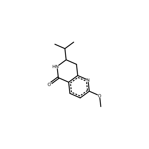 COc1ccc2c(n1)CC(C(C)C)NC2=O